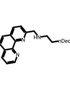 CCCCCCCCCCCCNCc1ccc2ccc3cccnc3c2n1